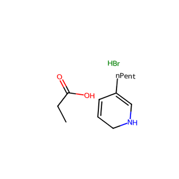 Br.CCC(=O)O.CCCCCC1=CNCC=C1